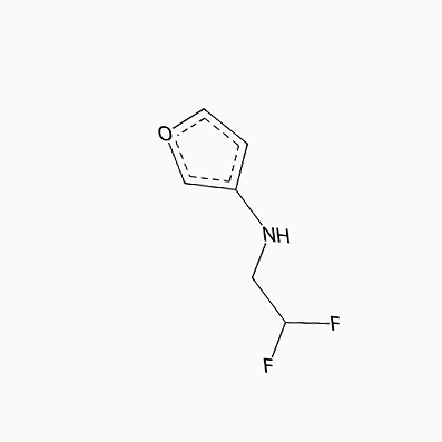 FC(F)CNc1ccoc1